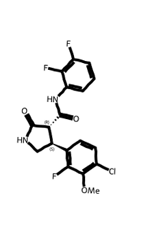 COc1c(Cl)ccc([C@H]2CNC(=O)[C@@H]2C(=O)Nc2cccc(F)c2F)c1F